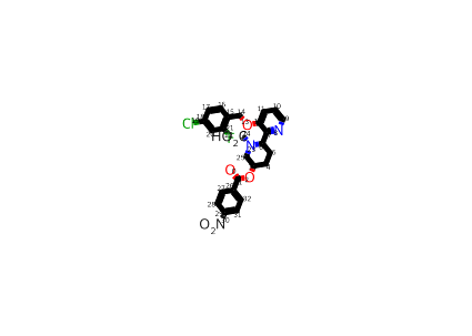 O=C(OC1CCC(c2ncccc2OCc2ccc(Cl)cc2F)N(C(=O)O)C1)c1ccc([N+](=O)[O-])cc1